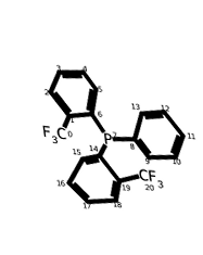 FC(F)(F)c1ccccc1P(c1ccccc1)c1ccccc1C(F)(F)F